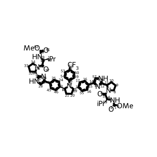 COC(=O)N[C@H](C(=O)N1CCCC1c1nc(-c2ccc([C@@H]3CC[C@@H](c4ccc(-c5c[nH]c([C@@H]6CCCN6C(=O)[C@@H](NC(=O)OC)C(C)C)n5)cc4)N3c3ccc(C(F)(F)F)cc3)cc2)c[nH]1)C(C)C